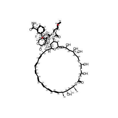 C=CCOC(=O)N[C@@H]1[C@H](O)[C@H](O[C@H]2/C=C/C=C/C=C/C=C/C=C/C=C/C=C/[C@H](C)[C@@H](O)[C@@H](C)[C@H](C)OC(=O)C[C@H](O)C[C@H](O)CC[C@@H](O)[C@H](O)C[C@H](O)C[C@]3(O)C[C@H](OC(=O)OCC=C)[C@@H](NC(=O)Nc4cccc(C(N)=O)c4)[C@H](C2)O3)O[C@H](C)[C@H]1O